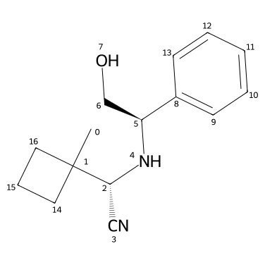 CC1([C@@H](C#N)N[C@@H](CO)c2ccccc2)CCC1